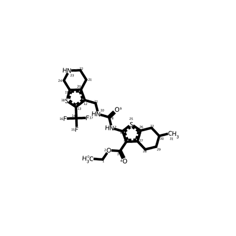 CCOC(=O)c1c(NC(=O)NCc2c(C(F)(F)F)sc3c2CCNC3)sc2c1CCC(C)C2